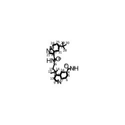 CNC(=O)c1ccc2nccc(C(C)(C)CCNC(=O)c3cnn4ccc(C(C)(C)C)cc34)c2c1